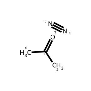 CC(C)=O.N#N